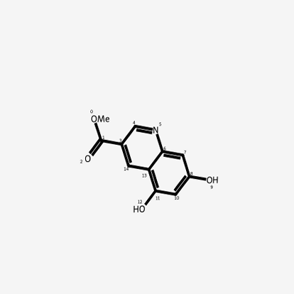 COC(=O)c1cnc2cc(O)cc(O)c2c1